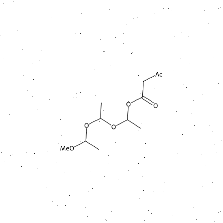 COC(C)OC(C)OC(C)OC(=O)CC(C)=O